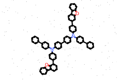 c1ccc(-c2ccc(N(c3ccc(-c4ccc(N(c5ccc(-c6ccccc6)cc5)c5ccc(-c6cccc7c6oc6ccccc67)cc5)cc4)cc3)c3ccc(-c4ccc5c(c4)oc4ccccc45)cc3)cc2)cc1